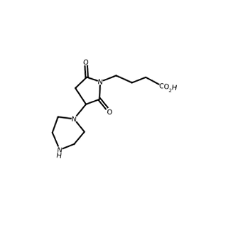 O=C(O)CCCN1C(=O)CC(N2CCNCC2)C1=O